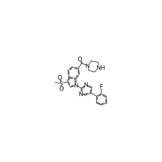 CS(=O)(=O)c1cn(-c2ncc(-c3ccccc3F)cn2)c2cc(C(=O)N3CCNCC3)ccc12